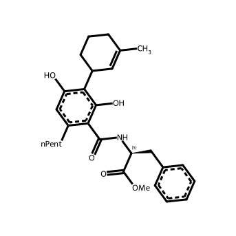 CCCCCc1cc(O)c(C2C=C(C)CCC2)c(O)c1C(=O)N[C@@H](Cc1ccccc1)C(=O)OC